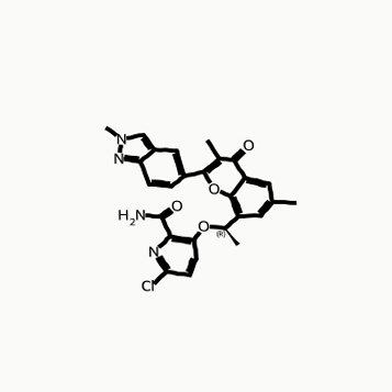 Cc1cc([C@@H](C)Oc2ccc(Cl)nc2C(N)=O)c2oc(-c3ccc4nn(C)cc4c3)c(C)c(=O)c2c1